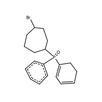 O=P(C1=CC=CCC1)(c1ccccc1)C1CCCC(Br)CC1